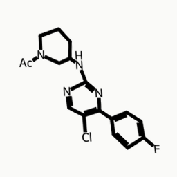 CC(=O)N1CCCC(Nc2ncc(Cl)c(-c3ccc(F)cc3)n2)C1